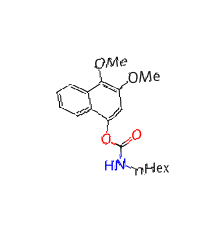 CCCCCCNC(=O)Oc1cc(OC)c(OC)c2ccccc12